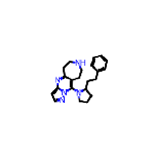 c1ccc(CCC2CCCN2c2c3c(nc4ccnn24)CCNCC3)cc1